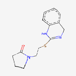 O=C1CCCN1CCSC1=NCc2ccccc2N1